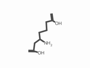 C=C(O)CCCC(N)CC(=C)O